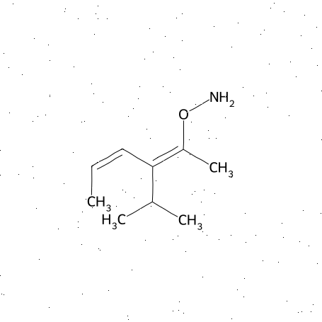 C/C=C\C(=C(\C)ON)C(C)C